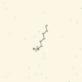 NCCCCCI